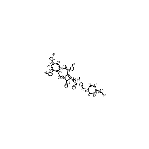 COC(=O)[C@H]1[C@@H](NC(=O)OCc2ccc(OC)cc2)C(=O)N1Cc1ccc(OC)cc1OC